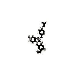 CC(C)COc1ccc(CNC(=O)N(Cc2ccc(F)c3ccoc23)C2CCN(C)CC2)cc1